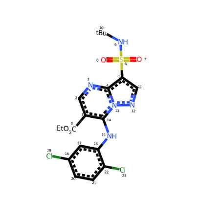 CCOC(=O)c1cnc2c(S(=O)(=O)NC(C)(C)C)cnn2c1Nc1cc(Cl)ccc1Cl